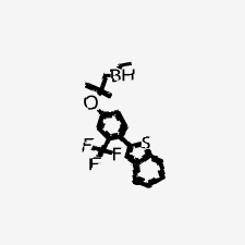 CCBCC(C)(C)Oc1ccc(-c2cc3ccccc3s2)c(C(F)(F)F)c1